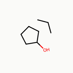 CCC.OC1CCCC1